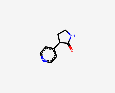 O=C1NCCC1c1ccncc1